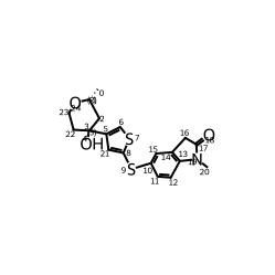 C[C@@H]1C[C@](O)(c2csc(Sc3ccc4c(c3)CC(=O)N4C)c2)CCO1